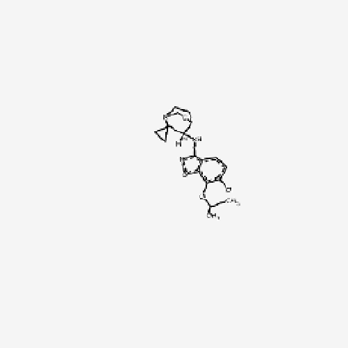 CC(C)Oc1c(Cl)ccc2c(N[C@H]3C4CCN(CC4)C34CC4)noc12